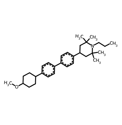 CCCN1C(C)(C)CC(c2ccc(-c3ccc(C4CCC(OC)CC4)cc3)cc2)CC1(C)C